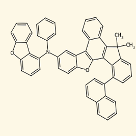 CC1(C)c2cccc(-c3cccc4ccccc34)c2-c2c1c1ccccc1c1c2oc2ccc(N(c3ccccc3)c3cccc4oc5ccccc5c34)cc21